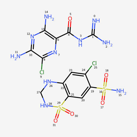 N=C(N)NC(=O)c1nc(Cl)c(N)nc1N.NS(=O)(=O)c1cc2c(cc1Cl)NCNS2(=O)=O